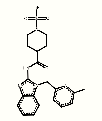 Cc1cccc(Cn2c(NC(=O)C3CCN(S(=O)(=O)C(C)C)CC3)nc3ccccc32)n1